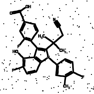 Cc1cc(-n2c(C(C)(C)CC#N)c(-c3ccc(C(=O)O)cc3F)c3c(O)c(F)ccc32)ccc1F